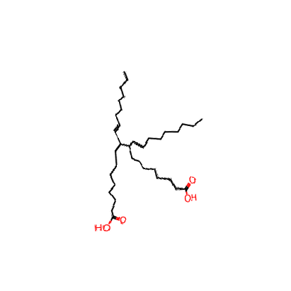 CCCCCCC/C=C/C(CCCCCCCC(=O)O)C(/C=C/CCCCCCC)CCCCCCCC(=O)O